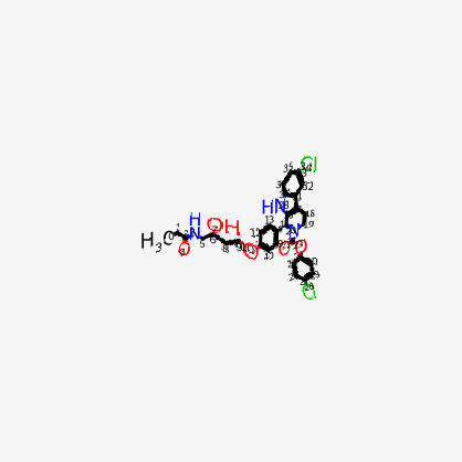 CCC(=O)NCC(O)CCOc1ccc([C@H]2C3=C(CCN2C(=O)Oc2ccc(Cl)cc2)C2C=C(Cl)C=CC2N3)cc1